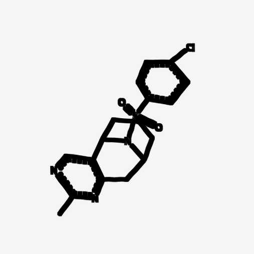 Cc1ncc2c(n1)CC1CCCC2N1S(=O)(=O)c1ccc(Cl)cc1